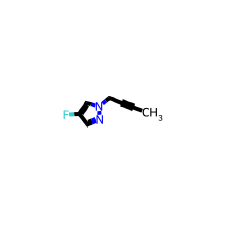 CC#CCn1cc(F)[c]n1